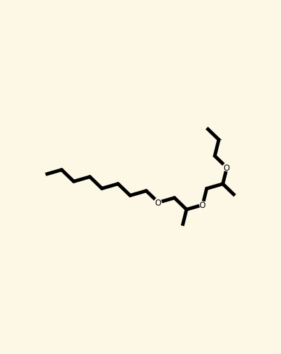 C[CH]COC(C)COC(C)COCCCCCCCC